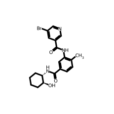 Cc1ccc(C(=O)N[C@H]2CCCC[C@@H]2O)cc1NC(=O)c1cncc(Br)c1